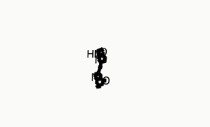 CC1(C)CC(=O)c2cc(C#Cc3ccc4c(n3)NCCO4)cnc2C1